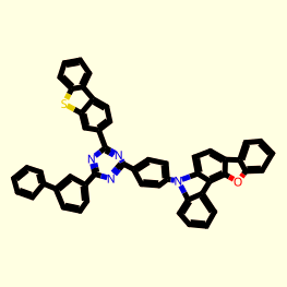 c1ccc(-c2cccc(-c3nc(-c4ccc(-n5c6ccccc6c6c7oc8ccccc8c7ccc65)cc4)nc(-c4ccc5c(c4)sc4ccccc45)n3)c2)cc1